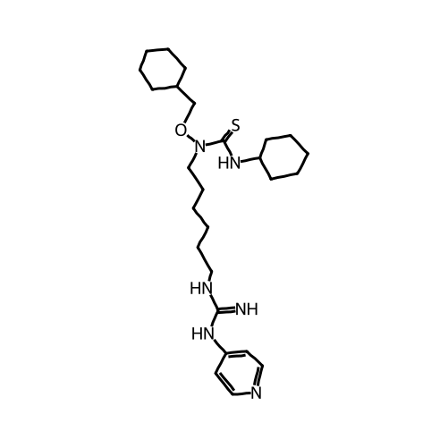 N=C(NCCCCCCN(OCC1CCCCC1)C(=S)NC1CCCCC1)Nc1ccncc1